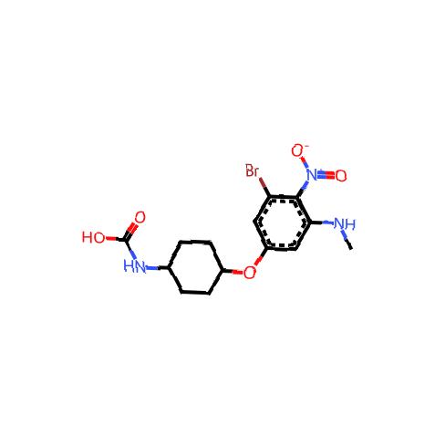 CNc1cc(OC2CCC(NC(=O)O)CC2)cc(Br)c1[N+](=O)[O-]